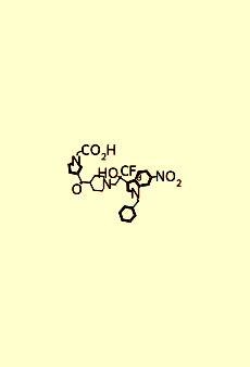 O=C(O)Cn1ccc(C(=O)C2CCN(CC(O)(c3cn(Cc4ccccc4)c4cc([N+](=O)[O-])ccc34)C(F)(F)F)CC2)c1